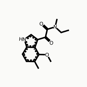 CCN(C)C(=O)C(=O)c1c[nH]c2ccc(C)c(OC)c12